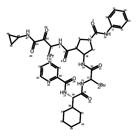 CCCC(NC(=O)C1CN(C(=O)Nc2ccccc2)CC1NC(=O)C(NC(=O)[C@@H](NC(=O)c1cnccn1)C1CCCCC1)C(C)(C)C)C(=O)C(=O)NC1CC1